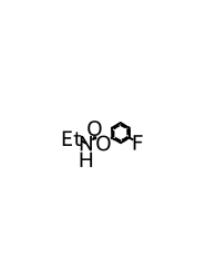 CCNC(=O)Oc1cccc(F)c1